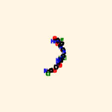 Cl.N#Cc1ccc(OC2CCC(NC(=O)c3ccc(N4CCC(CN5CCC(n6ccc7c(N8CCC(=O)NC8=O)c(F)ccc76)CC5)CC4)nn3)CC2)cc1Cl